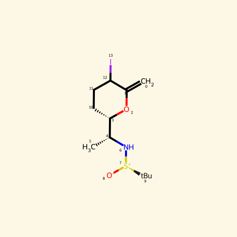 C=C1O[C@H]([C@@H](C)N[S@+]([O-])C(C)(C)C)CCC1I